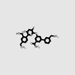 CCc1ccc(-c2nc(Oc3cc(C(N)=O)cc(-c4cccc(CN)c4)c3)c(F)cc2F)c(C(=O)O)c1